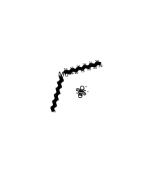 CCCCCCCCCCC[CH2][Mo+3][CH2]CCCCCCCCCCC.[O-]P([O-])(=S)[S-]